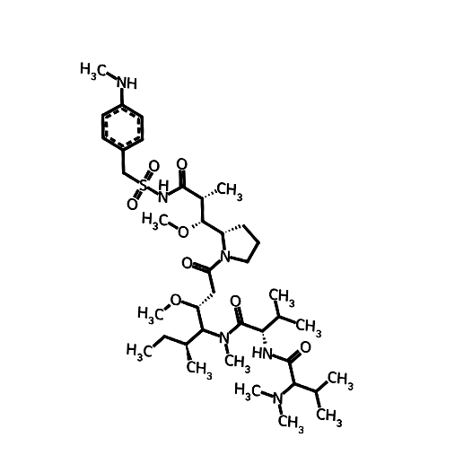 CC[C@H](C)C([C@@H](CC(=O)N1CCC[C@H]1[C@H](OC)[C@@H](C)C(=O)NS(=O)(=O)Cc1ccc(NC)cc1)OC)N(C)C(=O)[C@@H](NC(=O)C(C(C)C)N(C)C)C(C)C